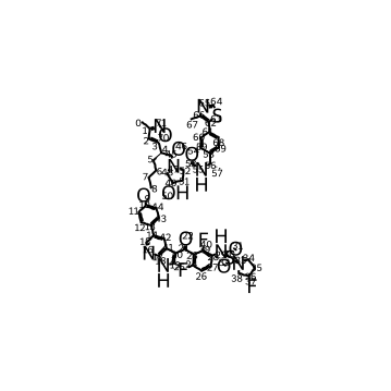 Cc1cc([C@H](CCCCOc2ccc(-c3cnc4[nH]cc(C(=O)c5c(F)ccc(NS(=O)(=O)N6CC[C@@H](F)C6)c5F)c4c3)cc2)C(=O)N2C[C@H](O)C[C@H]2C(=O)N[C@@H](C)c2ccc(-c3scnc3C)cc2)on1